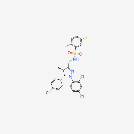 Cc1ccc(F)cc1S(=O)(=O)NCC1=NN(c2ccc(Cl)cc2Cl)[C@H](C2C=CC(Cl)=CC2)[C@H]1C